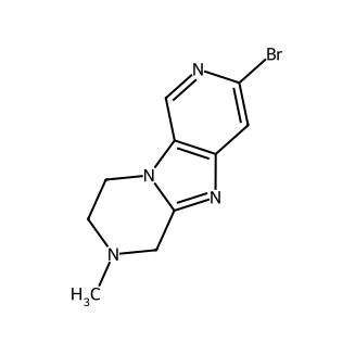 CN1CCn2c(nc3cc(Br)ncc32)C1